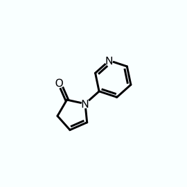 O=C1CC=CN1c1cccnc1